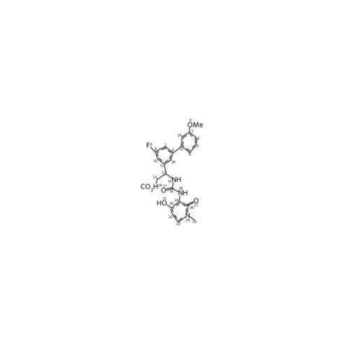 COc1cccc(-c2cc(F)cc(C(CC(=O)O)NC(=O)Nc3c(O)ccn(C)c3=O)c2)c1